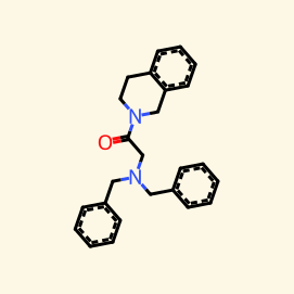 O=C(CN(Cc1ccccc1)Cc1ccccc1)N1CCc2ccccc2C1